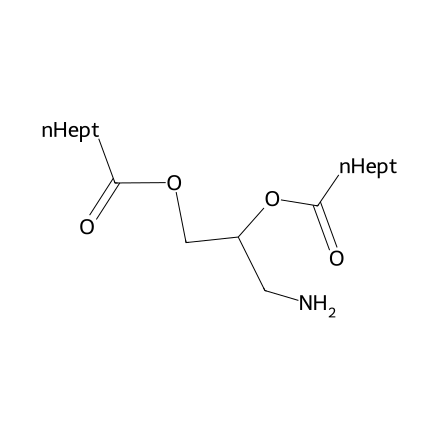 CCCCCCCC(=O)OCC(CN)OC(=O)CCCCCCC